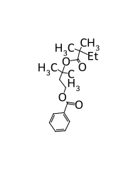 CCC(C)(C)C(=O)OC(C)(C)CCOC(=O)c1ccccc1